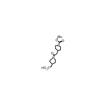 CC(C)(C)OC(=O)N1CCC(CC(=O)N2CCC(CC(=O)O)CC2)CC1